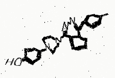 Cc1ccc(-c2nnc(N3CCN(c4ccc(O)cc4)CC3)c3ccccc23)cc1